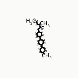 CCC/C(C)=C(/F)CC1CCC(C2CCC(C3CCC(C)CC3)CC2)CC1